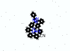 N#Cc1ccc(-c2cc(-c3ccccc3-c3nc(-c4ccccc4)nc(-c4ccccc4)n3)ccc2C2N=C(c3ccccc3)N=C(c3ccccc3-c3ccccc3)N2)cc1